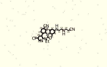 CCN1C(=O)N(c2c(F)cc(NCCNCCC#N)cc2F)c2cc(C#N)ccc2-c2cc(Cl)cnc21